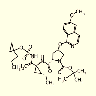 C=C(NS(=O)(=O)OC1(CCC)CC1)[C@@]1(NC(=O)[C@@H]2C[C@@H](Oc3nccc4cc(OC)ccc34)CN2C(=O)OC(C)(C)C)C[C@H]1CC